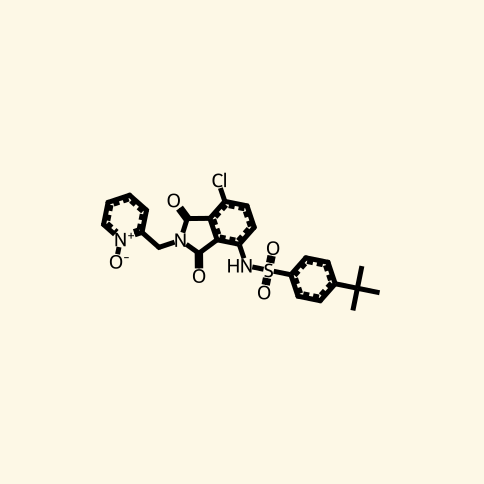 CC(C)(C)c1ccc(S(=O)(=O)Nc2ccc(Cl)c3c2C(=O)N(Cc2cccc[n+]2[O-])C3=O)cc1